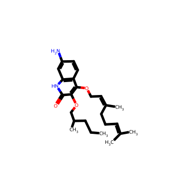 CCCC(C)COc1c(OCC=C(C)CCC=C(C)C)c2ccc(N)cc2[nH]c1=O